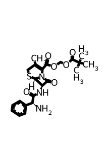 CC1=C(C(=O)OCOC(=O)C(C)(C)C)N2C(=O)[C@@H](NC(=O)[C@H](N)c3ccccc3)[C@H]2SC1